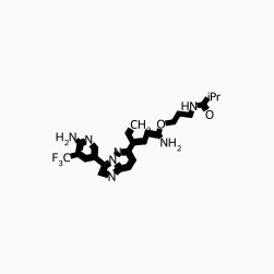 C=C/C(=C\C=C(/N)OCCCNC(=O)C(C)C)c1ccc2ncc(-c3cnc(N)c(C(F)(F)F)c3)n2n1